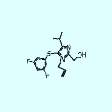 C=CCn1c(CO)nc(C(C)C)c1Sc1cc(F)cc(F)c1